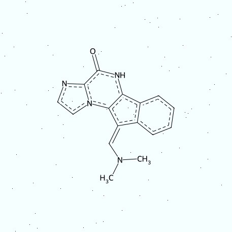 CN(C)C=c1c2ccccc2c2[nH]c(=O)c3nccn3c12